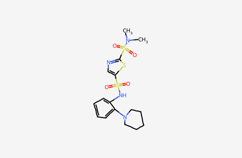 CN(C)S(=O)(=O)c1ncc(S(=O)(=O)Nc2ccccc2N2CCCCC2)s1